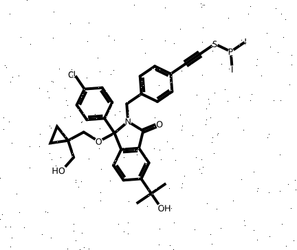 CC(C)(O)c1ccc2c(c1)C(=O)N(Cc1ccc(C#CSP(I)I)cc1)C2(OCC1(CO)CC1)c1ccc(Cl)cc1